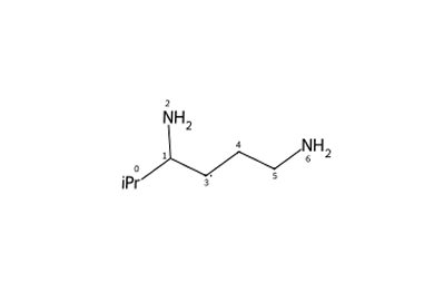 CC(C)C(N)[CH]CCN